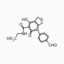 O=Cc1ccc(-n2c3c(c(O)c(C(=O)NCC(=O)O)c2=O)COC3)cc1